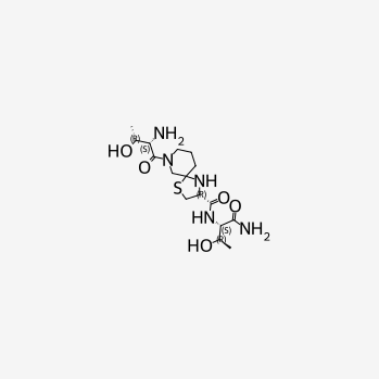 C[C@@H](O)[C@H](N)C(=O)N1CCCC2(C1)N[C@H](C(=O)N[C@H](C(N)=O)[C@@H](C)O)CS2